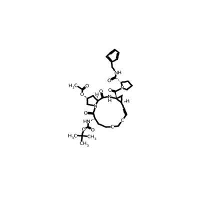 CC(=O)O[C@@H]1C[C@H]2C(=O)N[C@]3(C(=O)N4CCC[C@H]4C(=O)NCc4ccccc4)C[C@H]3/C=C\CCCCC[C@H](NC(=O)OC(C)(C)C)C(=O)N2C1